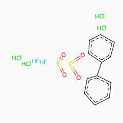 Cl.Cl.Cl.Cl.F.F.O=S=O.O=S=O.c1ccc(-c2ccccc2)cc1